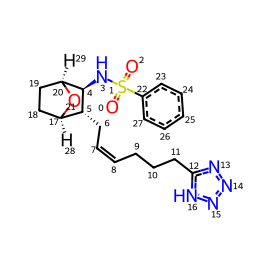 O=S(=O)(N[C@H]1[C@H](C/C=C\CCCc2nnn[nH]2)[C@H]2CC[C@@H]1O2)c1ccccc1